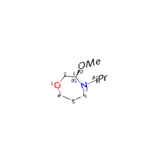 CO[C@@H]1COCCCN1C(C)C